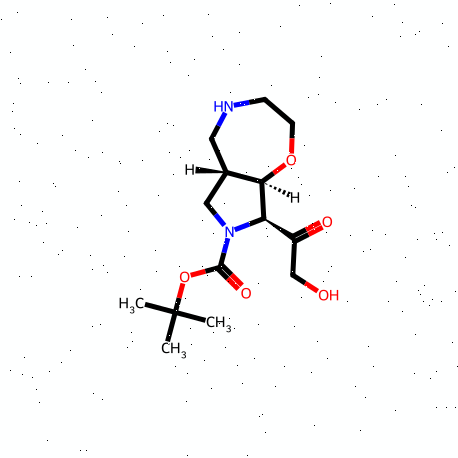 CC(C)(C)OC(=O)N1C[C@@H]2CNCCO[C@H]2[C@H]1C(=O)CO